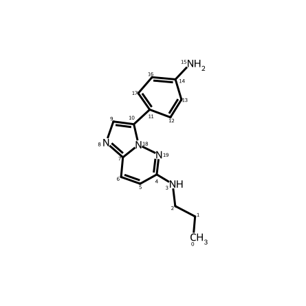 CCCNc1ccc2ncc(-c3ccc(N)cc3)n2n1